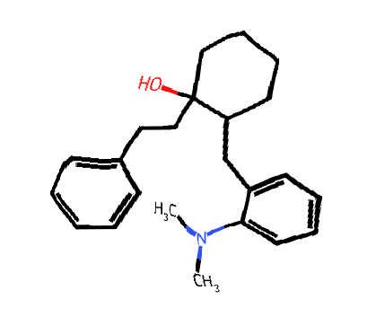 CN(C)c1ccccc1CC1CCCCC1(O)CCc1ccccc1